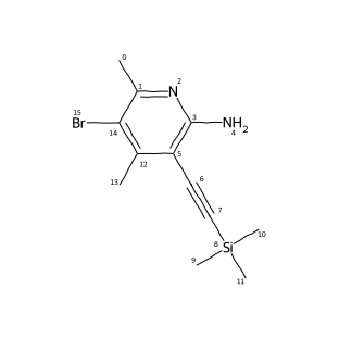 Cc1nc(N)c(C#C[Si](C)(C)C)c(C)c1Br